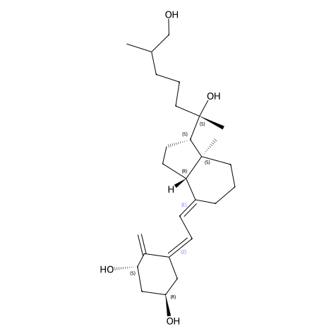 C=C1/C(=C\C=C2/CCC[C@@]3(C)[C@H]2CC[C@@H]3[C@@](C)(O)CCCC(C)CO)C[C@@H](O)C[C@@H]1O